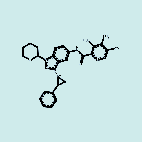 Cc1c(C#N)cnc(C(=O)Nc2ccc3c(c2)c([C@@H]2CC2c2ccccc2)nn3C2CCCCO2)c1C